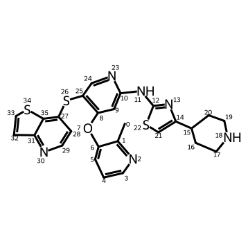 Cc1ncccc1Oc1cc(Nc2nc(C3CCNCC3)cs2)ncc1Sc1ccnc2ccsc12